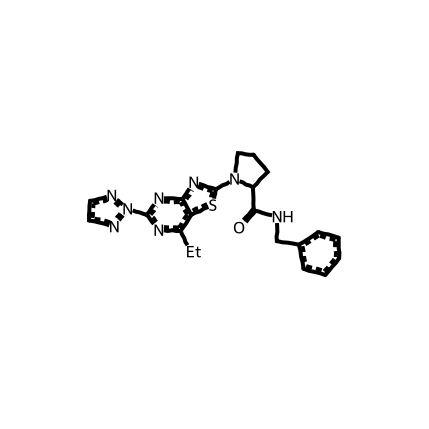 CCc1nc(-n2nccn2)nc2nc(N3CCCC3C(=O)NCc3ccccc3)sc12